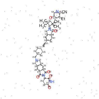 CCc1cc(O[C@H]2C(C)(C)[C@H](N3Cc4cc(C#C[C@H]5CC[C@H](CN6Cc7cc8c(cc7C6)C(=O)N(C6CCC(=O)NC6=O)C8=O)CC5)ccc4C3=O)C2(C)C)cnc1C#N